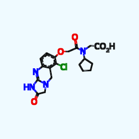 O=C(O)CN(C(=O)COc1ccc2c(c1Cl)CN1CC(=O)NC1=N2)C1CCCC1